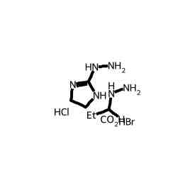 Br.CCC(NN)C(=O)O.Cl.NNC1=NCCN1